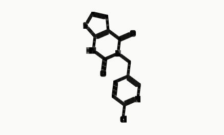 O=c1[nH]c2sccc2c(=O)n1Cc1ccc(Cl)nc1